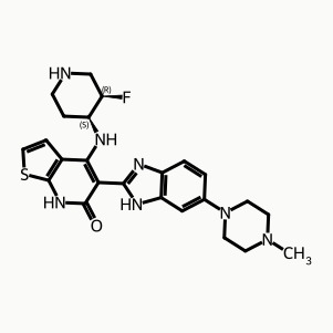 CN1CCN(c2ccc3nc(-c4c(N[C@H]5CCNC[C@H]5F)c5ccsc5[nH]c4=O)[nH]c3c2)CC1